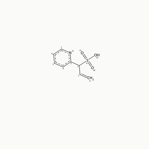 C=CC(c1ccccn1)S(=O)(=O)O